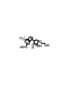 CCCSc1nc(C)c2nnn([C@@H]3C[C@H](OCCO)[C@@H](O)[C@H]3O)c2n1